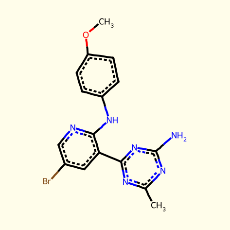 COc1ccc(Nc2ncc(Br)cc2-c2nc(C)nc(N)n2)cc1